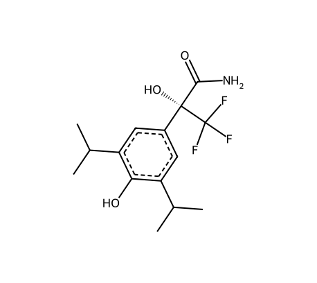 CC(C)c1cc([C@@](O)(C(N)=O)C(F)(F)F)cc(C(C)C)c1O